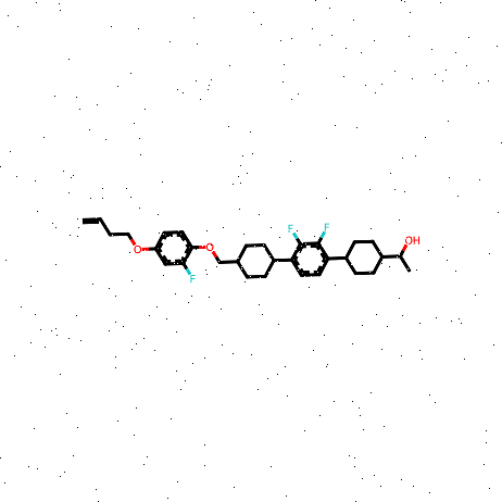 C=CCCOc1ccc(OCC2CCC(c3ccc(C4CCC(C(C)O)CC4)c(F)c3F)CC2)c(F)c1